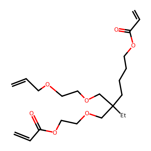 C=CCOCCOCC(CC)(CCCCOC(=O)C=C)COCCOC(=O)C=C